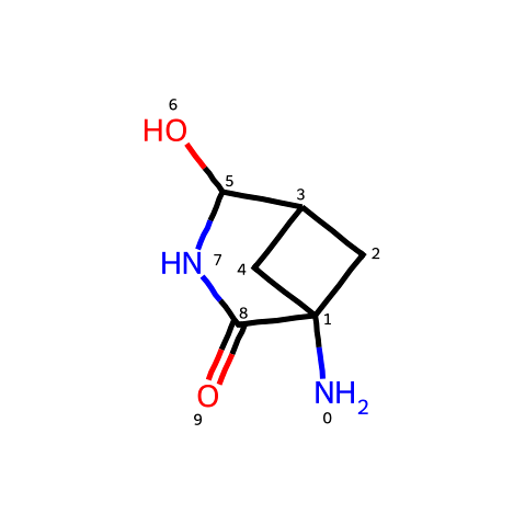 NC12CC(C1)C(O)NC2=O